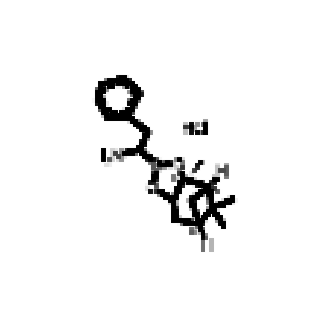 CC1(C)[C@@H]2CC3OB(C(N)Cc4ccccc4)O[C@@]3(C)[C@H]1C2.Cl